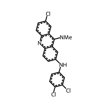 CNc1c2cc(Cl)ccc2nc2ccc(Nc3ccc(Cl)c(Cl)c3)cc12